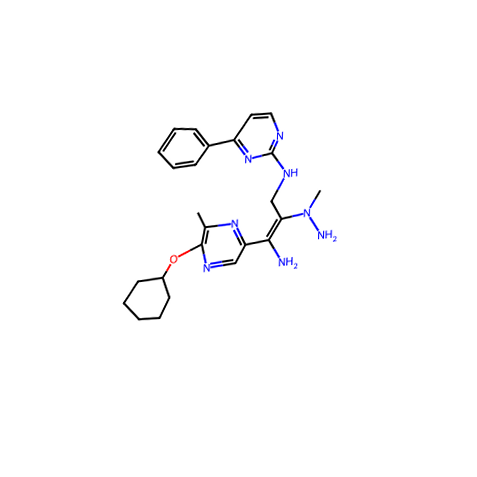 Cc1nc(/C(N)=C(\CNc2nccc(-c3ccccc3)n2)N(C)N)cnc1OC1CCCCC1